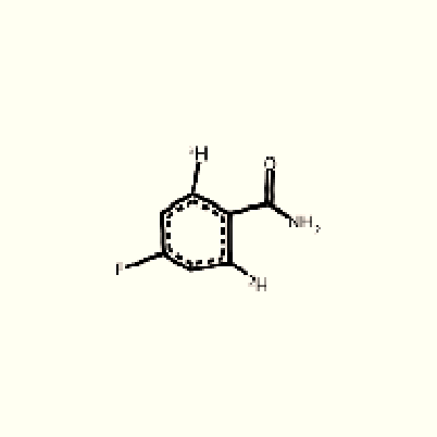 [2H]c1cc(F)cc([2H])c1C(N)=O